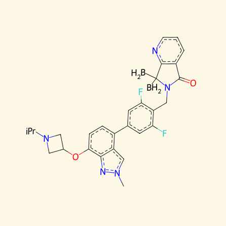 BC1(B)c2ncccc2C(=O)N1Cc1c(F)cc(-c2ccc(OC3CN(C(C)C)C3)c3nn(C)cc23)cc1F